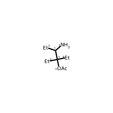 CCC(N)C(CC)(CC)OC(C)=O